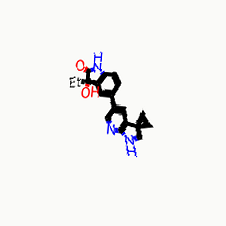 CCC1(O)C(=O)Nc2ccc(-c3cnc4c(c3)C3(CC3)CN4)cc21